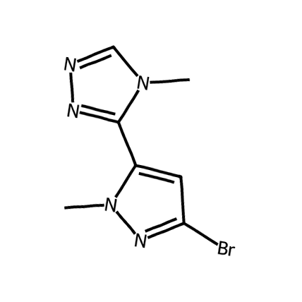 Cn1cnnc1-c1cc(Br)nn1C